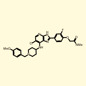 CNC(=O)COc1ccc(-c2nc3c(NC4CCN(Cc5ccc(OC)cc5)CC4)c(Cl)cnc3[nH]2)cc1F